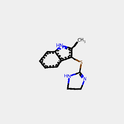 Cc1[nH]c2ccccc2c1SC1=NCCN1